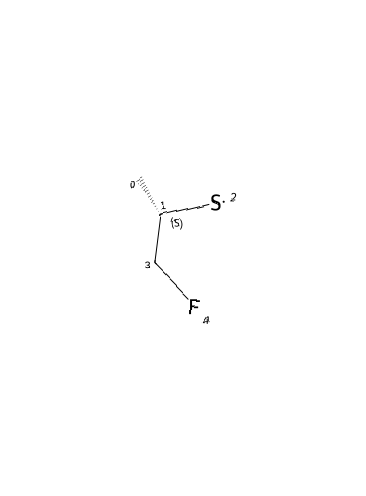 C[C@H]([S])CF